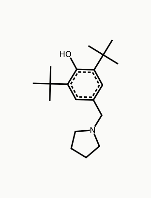 CC(C)(C)c1cc(CN2CCCC2)cc(C(C)(C)C)c1O